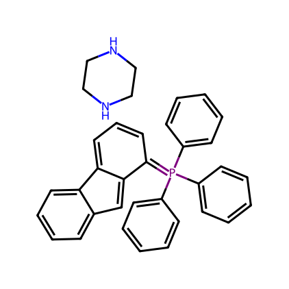 C1=CC(=P(c2ccccc2)(c2ccccc2)c2ccccc2)C2=Cc3ccccc3C2=C1.C1CNCCN1